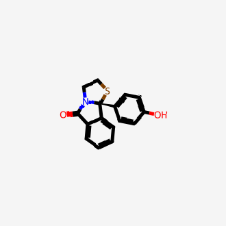 O=C1c2ccccc2[C@@]2(c3ccc(O)cc3)SCCN12